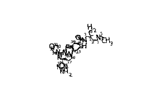 C=C(/C=C\N=C/C)CNC(=O)c1ccc(N2CCc3c(-c4cnc(N)nc4)nc(N4CCOCC4)nc32)c(F)c1